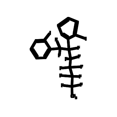 FC(F)(F)C(F)(F)C(F)(F)C(F)(F)C(F)(F)C(F)(c1ccccc1I)C(F)(F)c1ccccc1I